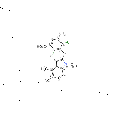 Cc1cc(C(=O)O)c(Cl)c(Cc2cc3c(C)c(C#N)ccc3n2C)c1Cl